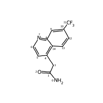 NC(=O)Cc1ccnc2cc(C(F)(F)F)ccc12